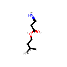 CC(C)C(C)CCOC(=O)CC=N